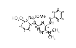 COc1nc2c(C(=O)O)cccc2n1-c1nnc(N(C)C)c(NCc2ccccc2)n1